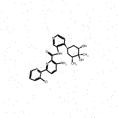 C[C@H]1C[C@@H](c2ccncc2NC(=O)c2nc(-c3ncccc3Cl)ccc2N)C[C@@H](O)[C@]1(C)O